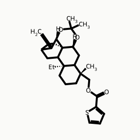 C=C1C2CC[C@@]34C(C2)[C@]2(CC)CCC[C@@](C)(COC(=O)c5cccs5)C2C[C@H]3OC(C)(C)O[C@@H]14